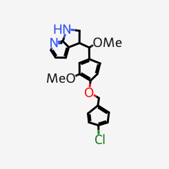 COc1cc(C(OC)C2CNc3ncccc32)ccc1OCc1ccc(Cl)cc1